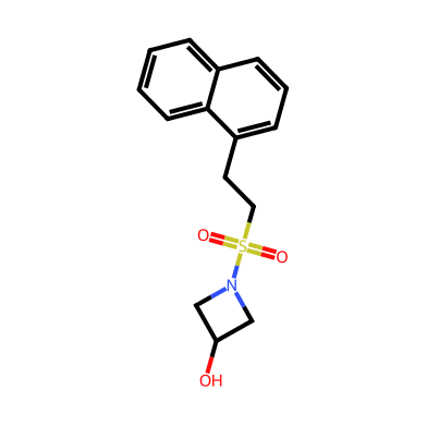 O=S(=O)(CCc1cccc2ccccc12)N1CC(O)C1